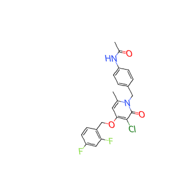 CC(=O)Nc1ccc(Cn2c(C)cc(OCc3ccc(F)cc3F)c(Cl)c2=O)cc1